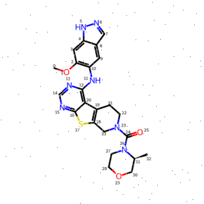 COc1cc2[nH]ncc2cc1Nc1ncnc2sc3c(c12)CCN(C(=O)N1CCOC[C@@H]1C)C3